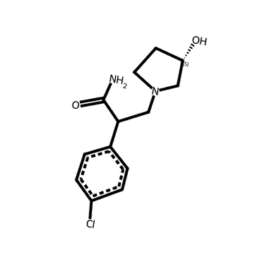 NC(=O)C(CN1CC[C@H](O)C1)c1ccc(Cl)cc1